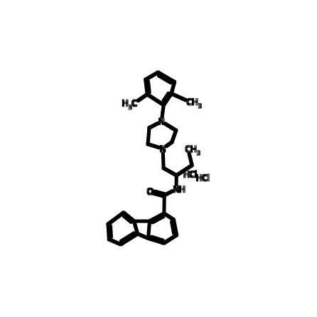 CCC(CN1CCN(c2c(C)cccc2C)CC1)NC(=O)c1cccc2c1-c1ccccc1-2.Cl.Cl